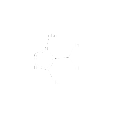 CCCCn1cnc(C(C)CC)c1C(C)C(C)C